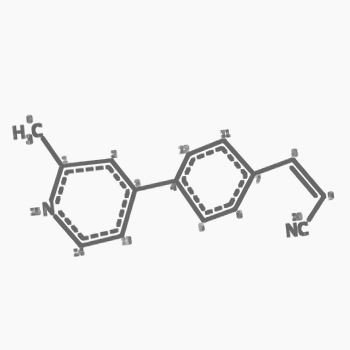 Cc1cc(-c2ccc(/C=C\C#N)cc2)ccn1